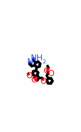 CCOC(=O)Cc1ccccc1OCc1coc2c(OC)cc(-c3cccc4c(N)nccc34)cc12